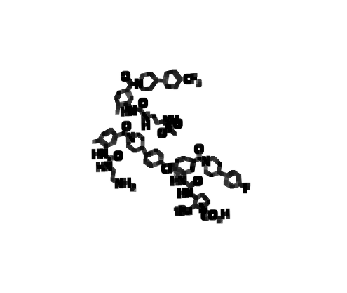 Cc1ccc(C(=O)N2CCC(c3ccc(C(F)(F)F)cc3)CC2)cc1NC(=O)NCCN.Cc1ccc(C(=O)N2CCC(c3ccc(C(F)(F)F)cc3)CC2)cc1NC(=O)NCCNS(C)(=O)=O.Cc1ccc(C(=O)N2CCC(c3ccc(F)cc3)CC2)cc1NC(=O)NC1CCN(C(=O)O)C1C(C)(C)C